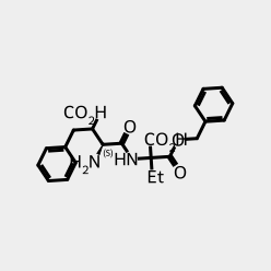 CCC(NC(=O)[C@@H](N)C(Cc1ccccc1)C(=O)O)(C(=O)O)C(=O)OCc1ccccc1